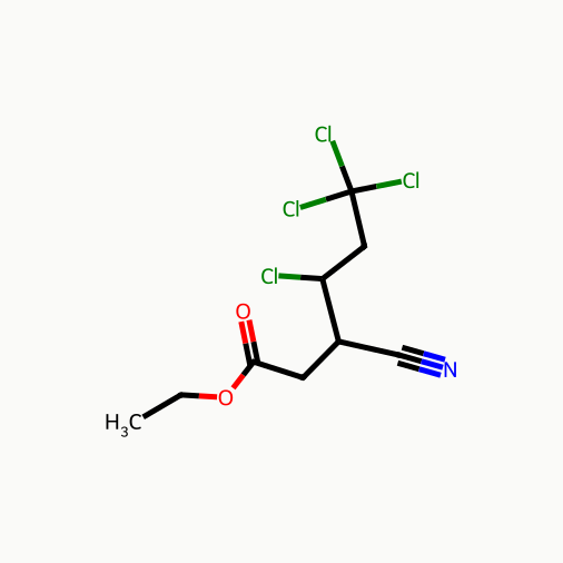 CCOC(=O)CC(C#N)C(Cl)CC(Cl)(Cl)Cl